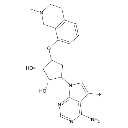 CN1CCc2cccc(OC3CC(n4cc(F)c5c(N)ncnc54)[C@H](O)[C@@H]3O)c2C1